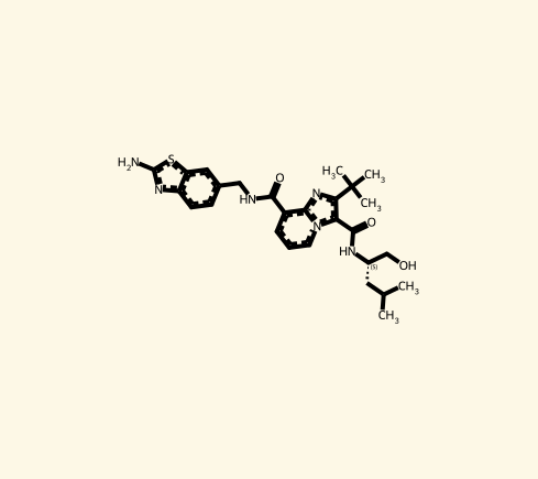 CC(C)C[C@@H](CO)NC(=O)c1c(C(C)(C)C)nc2c(C(=O)NCc3ccc4nc(N)sc4c3)cccn12